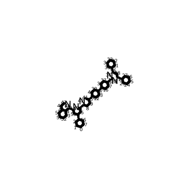 c1ccc(-c2cc(-c3ccc(-c4ccc(-c5ccc(-c6nc(-c7ccccc7)cc(-c7ccccc7)n6)cc5)cc4)cn3)nc(-c3nccc4ccccc34)c2)cc1